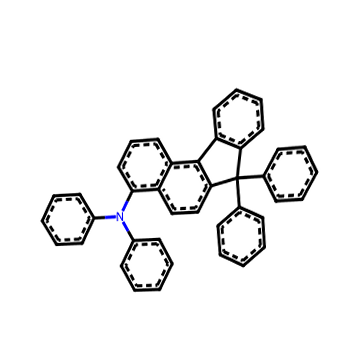 c1ccc(N(c2ccccc2)c2cccc3c4c(ccc23)C(c2ccccc2)(c2ccccc2)c2ccccc2-4)cc1